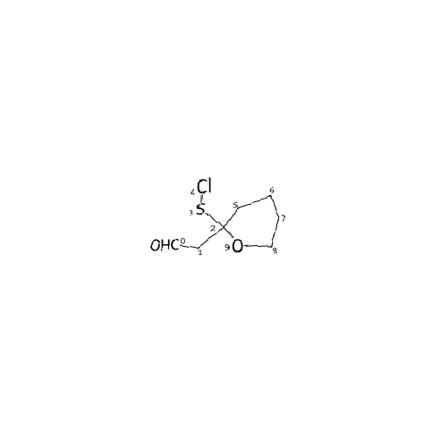 O=CCC1(SCl)CCCCO1